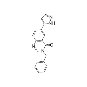 O=c1c2cc(-c3ccn[nH]3)ccc2ncn1Cc1ccccc1